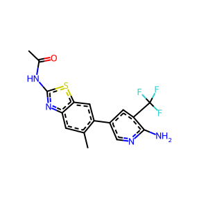 CC(=O)Nc1nc2cc(C)c(-c3cnc(N)c(C(F)(F)F)c3)cc2s1